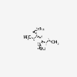 C=C/C=C(\C=C(/C=C)OC(C)(C)C)OC(C)(C)C